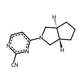 N#Cc1nccc(N2C[C@H]3CCC[C@@H]3C2)n1